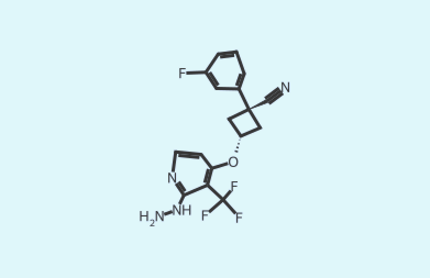 N#C[C@]1(c2cccc(F)c2)C[C@@H](Oc2ccnc(NN)c2C(F)(F)F)C1